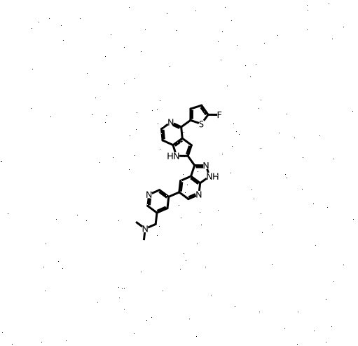 CN(C)Cc1cncc(-c2cnc3[nH]nc(-c4cc5c(-c6ccc(F)s6)nccc5[nH]4)c3c2)c1